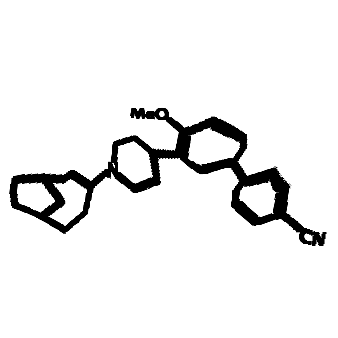 COc1ccc(-c2ccc(C#N)cc2)cc1C1CCN(C2CCC3CCC(C3)C2)CC1